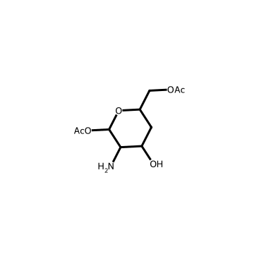 CC(=O)OCC1CC(O)C(N)C(OC(C)=O)O1